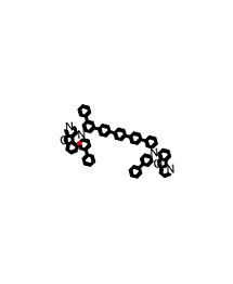 c1ccc(-c2ccc(N(c3cccc(-c4ccc(-c5ccc(-c6ccc(-c7cc(-c8ccccc8)cc(N(c8ccc(-c9ccccc9)cc8)c8cncc9oc%10ccccc%10c89)c7)cc6)cc5)cc4)c3)c3cccc4c3oc3cccnc34)cc2)cc1